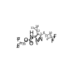 Cn1nc(CC2CC(F)(F)C2)c(C2CC2)c1NC(=O)OCC(F)F